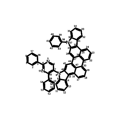 c1ccc(-c2ncc(-n3c4ccccc4c4c5cccc6c7cccc8c7c(cc7c8c8ccccc8n7-c7ccccc7)c(cc43)c65)c(-c3ccccc3)n2)cc1